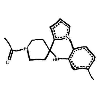 CC(=O)N1CCC2(CC1)Nc1cc(C)ccc1-n1cccc12